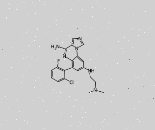 CN(C)CCNc1cc(-c2c(F)cccc2Cl)c2nc(N)c3cncn3c2c1